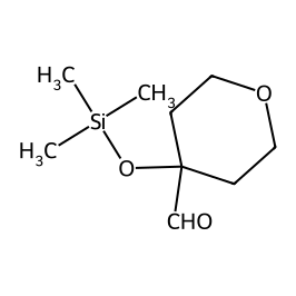 C[Si](C)(C)OC1(C=O)CCOCC1